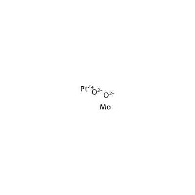 [Mo].[O-2].[O-2].[Pt+4]